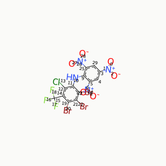 O=[N+]([O-])c1cc([N+](=O)[O-])c(Nc2c(Cl)c(C(F)(F)F)c(Br)c(Br)c2Br)c([N+](=O)[O-])c1